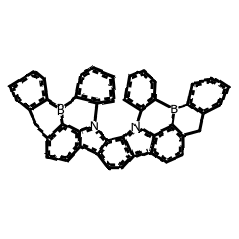 c1ccc2c(c1)Cc1ccc3c4ccc5c6ccc7c8c6n(c5c4n4c3c1B2c1ccccc1-4)-c1ccccc1B8c1ccccc1C7